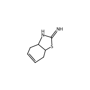 N=C1NC2CC=CCC2S1